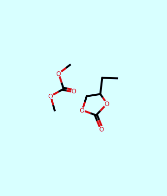 CCC1COC(=O)O1.COC(=O)OC